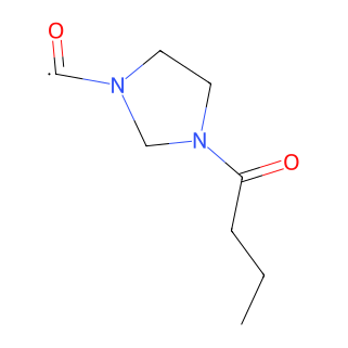 CCCC(=O)N1CCN([C]=O)C1